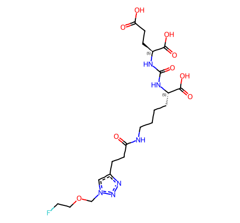 O=C(O)CC[C@H](NC(=O)N[C@@H](CCCCNC(=O)CCc1cn(COCCF)nn1)C(=O)O)C(=O)O